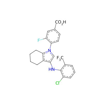 O=C(O)c1ccc(-n2cc(Nc3c(Cl)cccc3C(F)(F)F)c3c2CCCC3)c(F)c1